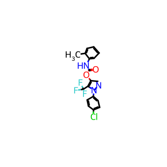 Cc1ccccc1NC(=O)Oc1cnn(-c2ccc(Cl)cc2)c1C(F)(F)F